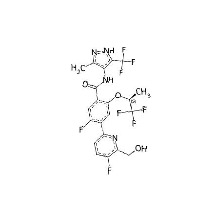 Cc1n[nH]c(C(F)(F)F)c1NC(=O)c1cc(F)c(-c2ccc(F)c(CO)n2)cc1O[C@@H](C)C(F)(F)F